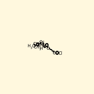 CC(C)(C)c1ccc(C(=O)NC(=S)N2CCc3c(OCCCCCOc4ccc(Cl)cc4)cccc32)cc1